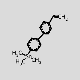 C=Cc1ccc(-c2cc[c]([Sn]([CH3])([CH3])[CH3])cc2)cc1